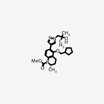 COC(=O)N1c2ccc(-c3cnn(CC(C)(C)O)c3)c(OCC3CCCC3)c2CC[C@@H]1C